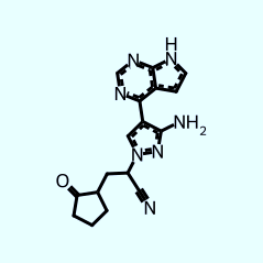 N#CC(CC1CCCC1=O)n1cc(-c2ncnc3[nH]ccc23)c(N)n1